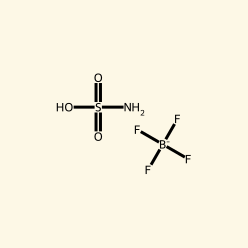 F[B-](F)(F)F.NS(=O)(=O)O